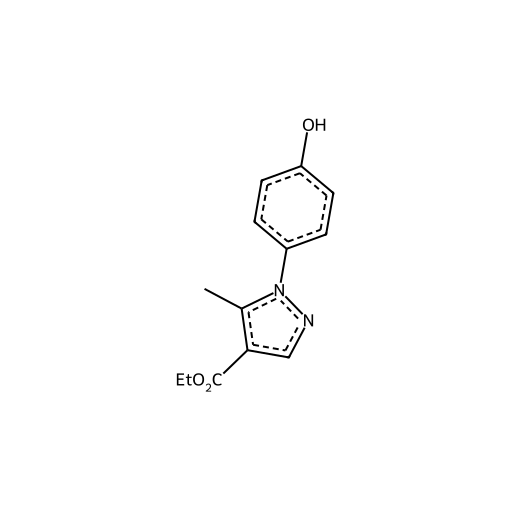 CCOC(=O)c1cnn(-c2ccc(O)cc2)c1C